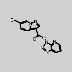 O=C(On1nnc2cccnc21)c1cnn2cc(Cl)ccc12